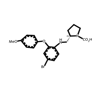 COc1ccc(Oc2cc(Br)ccc2NC[C@@H]2CCCN2C(=O)O)cc1